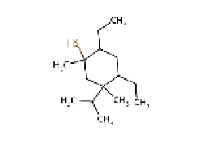 CCC1CC(CC)C(C)(C(C)C)CC1(C)S